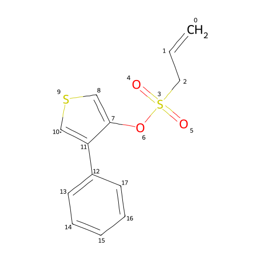 C=CCS(=O)(=O)Oc1cs[c]c1-c1ccccc1